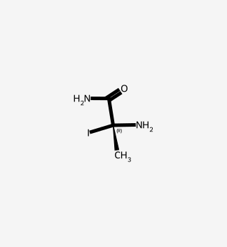 C[C@@](N)(I)C(N)=O